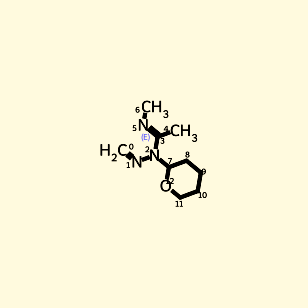 C=NN(/C(C)=N/C)C1CCCCO1